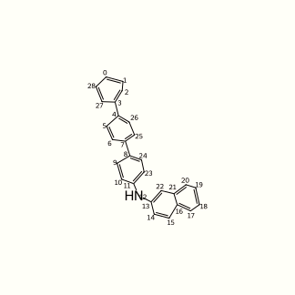 c1ccc(-c2ccc(-c3ccc(Nc4ccc5ccccc5c4)cc3)cc2)cc1